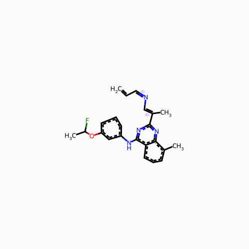 C=C/C=N\C=C(/C)c1nc(Nc2cccc(OC(C)F)c2)c2cccc(C)c2n1